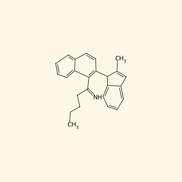 CCCCC(=N)c1c(C2C(C)=Cc3ccccc32)ccc2ccccc12